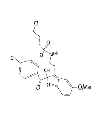 COc1ccc2c(c1)=C(CCNS(=O)(=O)CCCCl)C(C)(C(=O)c1ccc(Cl)cc1)N=2